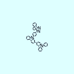 CC12C=CC(C3=CC4(C)C(C=C3)c3ccccc3N4c3ccc(-c4ncnc5c4oc4ccccc45)cc3)=CC1c1ccccc1N2c1ccccc1